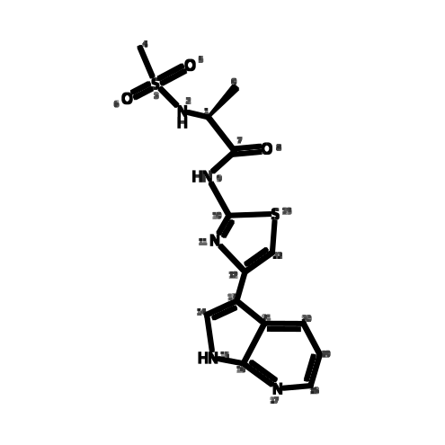 C[C@H](NS(C)(=O)=O)C(=O)Nc1nc(-c2c[nH]c3ncccc23)cs1